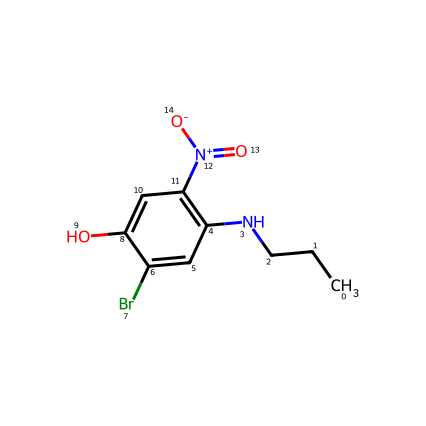 CCCNc1cc(Br)c(O)cc1[N+](=O)[O-]